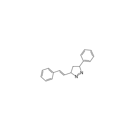 C(=CC1CC(c2ccccc2)N=N1)c1ccccc1